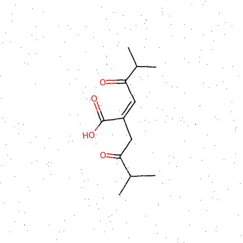 CC(C)C(=O)/C=C(/CC(=O)C(C)C)C(=O)O